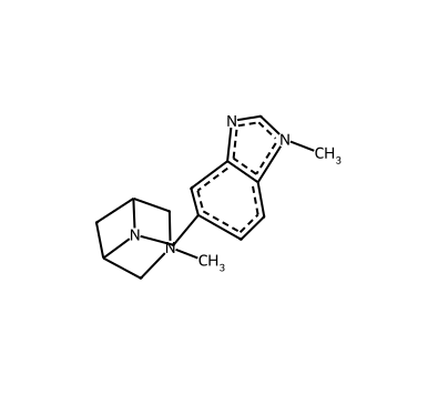 CN1CC2CC(C1)N2Cc1ccc2c(c1)ncn2C